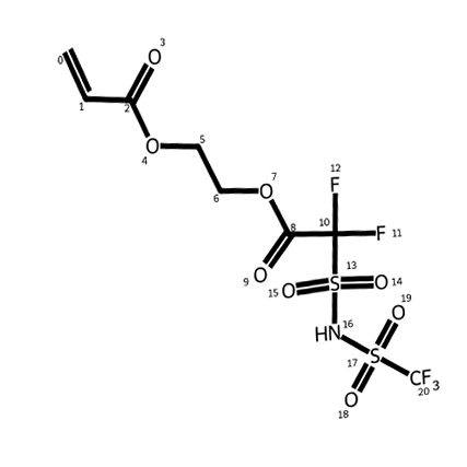 C=CC(=O)OCCOC(=O)C(F)(F)S(=O)(=O)NS(=O)(=O)C(F)(F)F